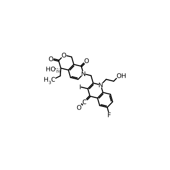 CC[C@@]1(O)C(=O)OCc2c1ccn(CC1=C(I)C(=C=O)c3cc(F)ccc3N1CCO)c2=O